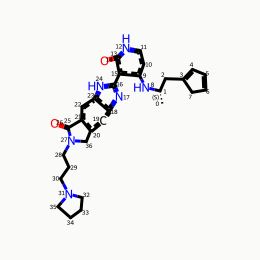 C[C@@H](CC1=CC=CC1)Nc1cc[nH]c(=O)c1-c1nc2cc3c(cc2[nH]1)C(=O)N(CCCN1CCCC1)C3